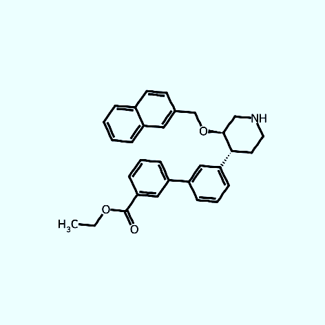 CCOC(=O)c1cccc(-c2cccc([C@H]3CCNC[C@@H]3OCc3ccc4ccccc4c3)c2)c1